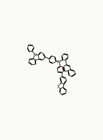 c1ccc(-n2c3ccccc3c3cc(-c4ccc(N(c5ccc(-c6ccc7c(c6)sc6ccccc67)cc5)c5ccccc5-c5ccc6ccccc6c5)cc4)ccc32)cc1